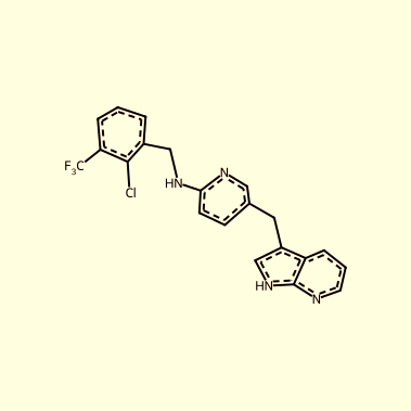 FC(F)(F)c1cccc(CNc2ccc(Cc3c[nH]c4ncccc34)cn2)c1Cl